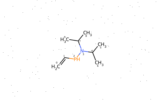 C=CPN(C(C)C)C(C)C